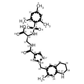 Cc1cc(C)c(S(=O)(=O)N[C@@H](CNC(=O)c2cnn(Cc3cc4c(nc3C)NCCC4)n2)C(=O)O)c(C)c1